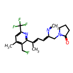 C=N/C(=C\C=C(/C)c1nc(C(F)(F)F)cc(C)c1CF)CN1CCCC1=O